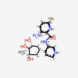 C[C@]1(O)[C@H](O)C[C@H](c2ccncc2NC(=O)c2nc(Br)ccc2N)C[C@@H]1O